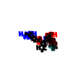 Cc1cc(OC(=O)c2ccc(NC(=N)N)cc2)cc(C2=NOC(CC(=O)O)(C(=O)OC(=O)C(F)(F)F)C2)c1